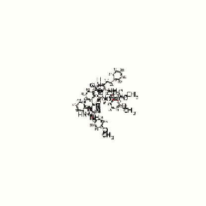 COc1ccc(CN(Cc2ccc(OC)cc2)S(=O)(=O)c2c(S(=O)(=O)N[C@@H](CCc3ccccc3)CNC(=O)O)ccc(-c3cccc4[nH]c(N)nc34)c2-c2nnn(Cc3ccc(OC)cc3)n2)cc1